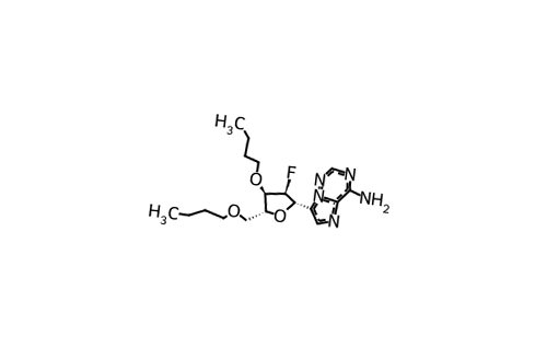 CCCCOC[C@H]1O[C@@H](c2cnc3c(N)ncnn23)[C@H](F)[C@@H]1OCCCC